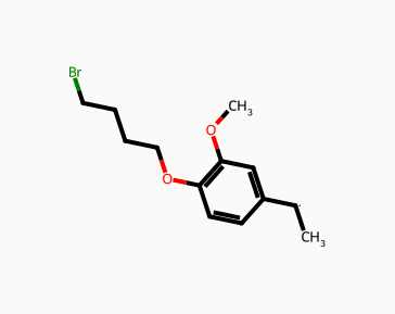 C[CH]c1ccc(OCCCCBr)c(OC)c1